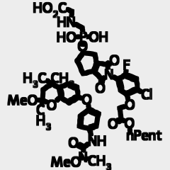 CCCCCOC(=O)COc1cc(N2C(=O)C3=C(CCCC3)C2=O)c(F)cc1Cl.CON(C)C(=O)Nc1ccc(Oc2ccc3c(c2)OC(C)(OC)CC3(C)C)cc1.O=C(O)CNCP(=O)(O)O